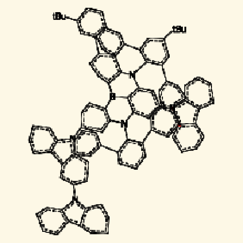 CC(C)(C)c1cccc(-c2ccc3c(c2)N(c2c(-c4ccccc4)cc(C(C)(C)C)cc2-c2ccccc2)c2cc(-n4c5ccccc5c5ccccc54)cc4c2B3c2ccc(-n3c5ccccc5c5cc(-n6c7ccccc7c7ccccc76)ccc53)cc2N4c2c(-c3ccccc3)cccc2-c2ccccc2)c1